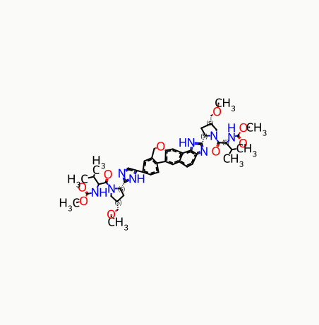 COC[C@H]1C[C@@H](c2ncc(-c3ccc4c(c3)COc3cc5c(ccc6nc([C@@H]7C[C@H](COC)CN7C(=O)[C@@H](NC(=O)OC)C(C)C)[nH]c65)cc3-4)[nH]2)N(C(=O)C(NC(=O)OC)C(C)C)C1